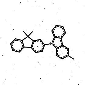 Cc1ccc2c(c1)c1ccccc1n2-c1ccc2c(c1)C(C)(C)c1ccccc1-2